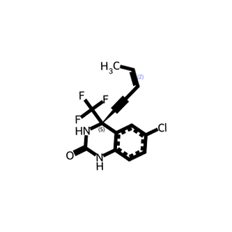 C/C=C\C#C[C@]1(C(F)(F)F)NC(=O)Nc2ccc(Cl)cc21